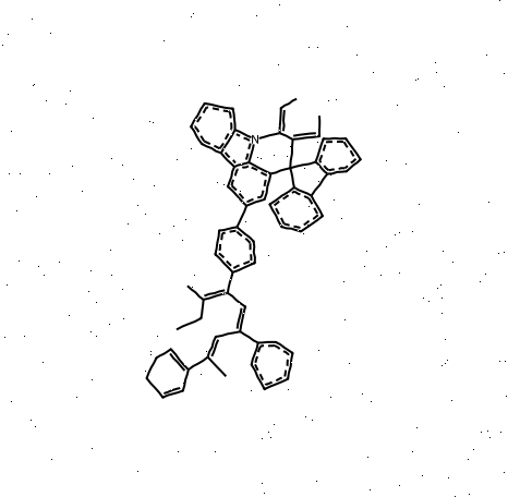 C/C=C1\C(=C/C)n2c3ccccc3c3cc(-c4ccc(C(/C=C(\C=C(/C)C5=CCCC=C5)c5ccccc5)=C(\C)CC)cc4)cc(c32)C12c1ccccc1-c1ccccc12